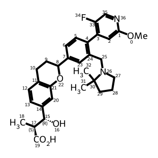 COc1cc(-c2ccc(C3CCc4ccc([C@H](O)[C@H](C)C(=O)O)cc4O3)cc2CN2CCCC2(C)C)c(F)cn1